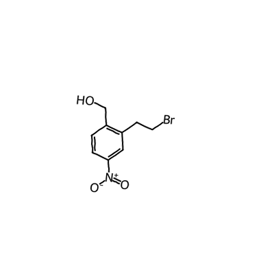 O=[N+]([O-])c1ccc(CO)c(CCBr)c1